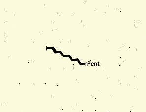 CCCCCCCCCCCC=CI